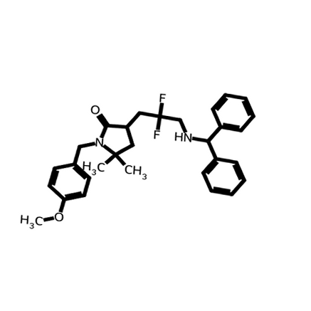 COc1ccc(CN2C(=O)C(CC(F)(F)CNC(c3ccccc3)c3ccccc3)CC2(C)C)cc1